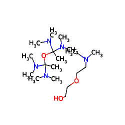 CN(C)C(C)(OC(C)(N(C)C)N(C)C)N(C)C.CN(C)CCOCCO